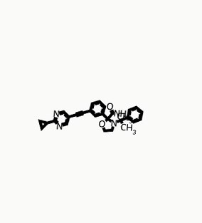 CC(C)(c1ccccc1)N1CCOC1(C(N)=O)c1cccc(C#Cc2cnc(C3CC3)nc2)c1